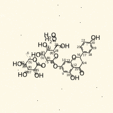 C[C@@H]1O[C@@H](O[C@H]2[C@H](Oc3cc(O)c4c(c3)OC(c3ccc(O)cc3)CC4=O)O[C@H](CO)[C@@H](O)[C@@H]2O)[C@H](O)[C@H](O)[C@H]1O.O.O